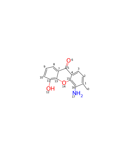 Cc1ccc2c(=O)c3cccc(O)c3oc2c1N